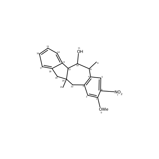 COc1cc2c(cc1[N+](=O)[O-])C(C)C(O)C1c3ccccc3CC1(C)C2